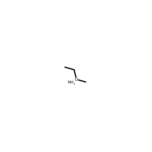 N.[CH2]OCC